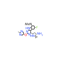 CNc1cc(F)cc2c1[nH]c1nc(Oc3cnc(C)nc3)nc(C3C[C@H](N)C4(CC4)N3)c12